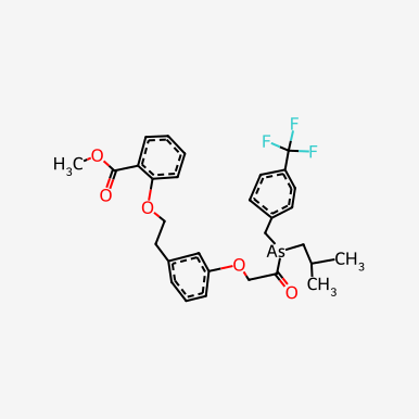 COC(=O)c1ccccc1OCCc1cccc(OCC(=O)[As](Cc2ccc(C(F)(F)F)cc2)CC(C)C)c1